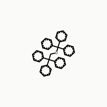 c1ccc(C(COC(c2ccccc2)(c2ccccc2)c2ccccc2)(c2ccccc2)c2ccccc2)cc1